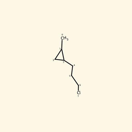 CC1CC1CCCCl